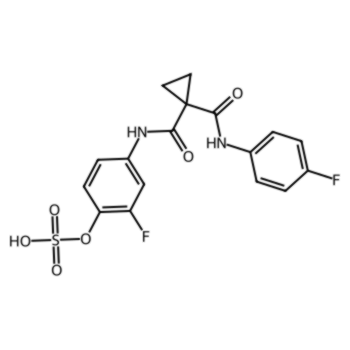 O=C(Nc1ccc(F)cc1)C1(C(=O)Nc2ccc(OS(=O)(=O)O)c(F)c2)CC1